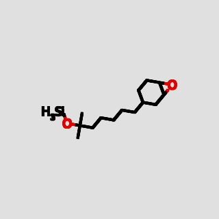 CC(C)(CCCCCC1CCC2OC2C1)O[SiH3]